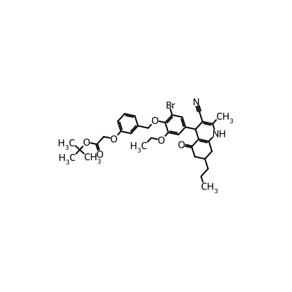 CCCC1CC(=O)C2=C(C1)NC(C)=C(C#N)C2c1cc(Br)c(OCc2cccc(OCC(=O)OC(C)(C)C)c2)c(OCC)c1